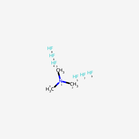 CN(C)C.F.F.F.F.F.F